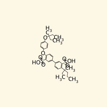 CCCC(C)(CC)c1ccc(-c2ccc(Oc3ccc(OC(C)(CC)CC)cc3)c(S(=O)(=O)O)c2)cc1S(=O)(=O)O